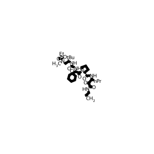 C=CCNC(=O)C(=O)C(CCC)NC(=O)[C@@H]1CCCN1C(=O)[C@@H](NC(=O)N[C@H](CN(C)S(=O)(=O)CC)C(C)(C)C)C1(C)CCCCC1